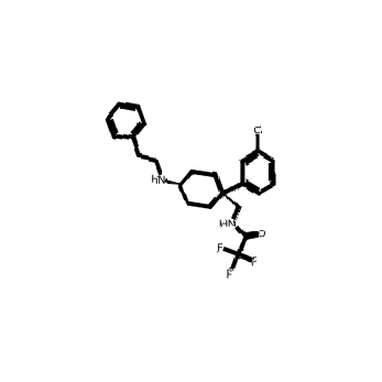 O=C(NC[C@]1(c2cccc(Cl)c2)CC[C@H](NCCc2ccccc2)CC1)C(F)(F)F